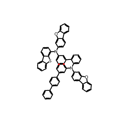 c1ccc(-c2ccc(-c3cccc(N(c4ccc5c(c4)oc4ccccc45)c4ccccc4-c4cccc(N(c5ccc6c(c5)oc5ccccc56)c5cccc6c5sc5ccccc56)c4)c3)cc2)cc1